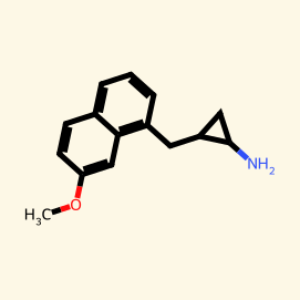 COc1ccc2cccc(CC3CC3N)c2c1